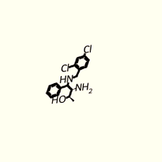 C[C@@H](O)[C@@H](N)C(NCc1ccc(Cl)cc1Cl)c1ccccc1